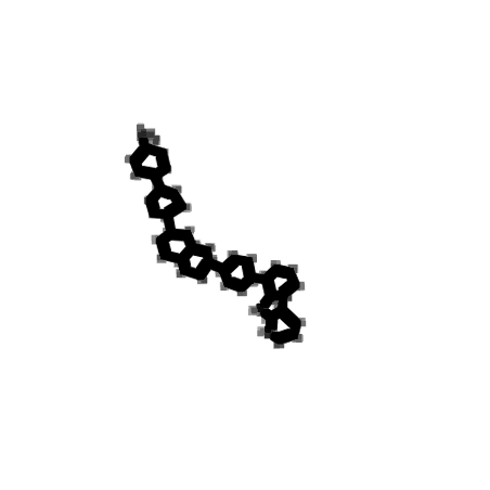 Pc1ccc(-c2ccc(-c3ccc4ccc(-c5ccc(-c6cccc7c6sc6ncccc67)cc5)cc4c3)cc2)cc1